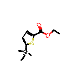 CCOC(=O)c1cc[c]([Sn]([CH3])([CH3])[CH3])s1